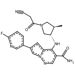 C[C@@H]1CN(C(=O)CC#N)C[C@H]1Nc1c(C(N)=O)cnn2cc(-c3ccc(F)nc3)cc12